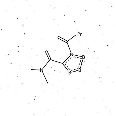 C=C(c1bbbn1C(=C)C(C)C)N(C)C